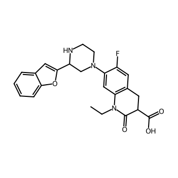 CCN1C(=O)C(C(=O)O)Cc2cc(F)c(N3CCNC(c4cc5ccccc5o4)C3)cc21